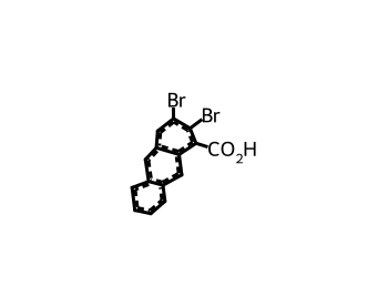 O=C(O)c1c(Br)c(Br)cc2cc3ccccc3cc12